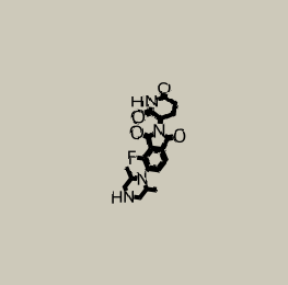 CC1CNCC(C)N1c1ccc2c(c1F)C(=O)N(C1CCC(=O)NC1=O)C2=O